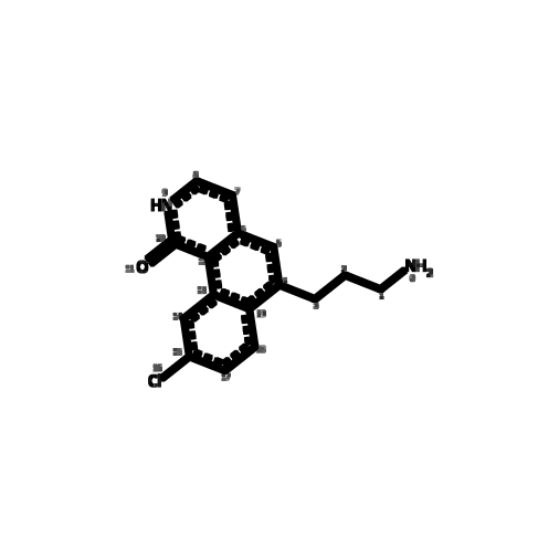 NCCCc1cc2cc[nH]c(=O)c2c2cc(Cl)ccc12